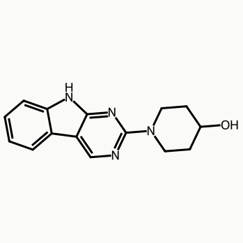 OC1CCN(c2ncc3c(n2)[nH]c2ccccc23)CC1